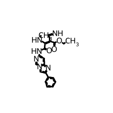 CCOC(=O)/C(C=N)=C(/NC)C(=O)Nc1cc2nc(-c3ccccc3)cn2cn1